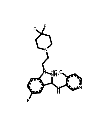 O=C(O)c1ccncc1NC1NN(CCN2CCC(F)(F)CC2)c2ccc(F)cc21